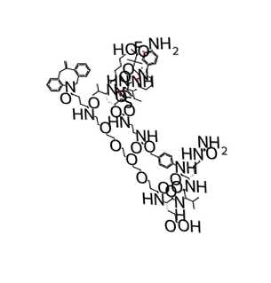 C=C1Cc2ccccc2N(C(=O)CCC(=O)NCCOCCOCCOCCOCCC(=O)N[C@@H](CCC(=O)O)C(=O)N[C@H](C(=O)N[C@@H](CCCNC(N)=O)C(=O)Nc2ccc(COC(=O)NCCNC(=O)O[C@H](C[C@H](C(C)C)N(CCCCCC)C(=O)[C@@H](NC(=O)[C@H]3CCCCN3C)[C@@H](C)CC)c3nc(C(=O)N[C@@H](Cc4ccc(N)c(F)c4)CC(C)(C)C(=O)O)cs3)cc2)C(C)C)Cc2ccccc21